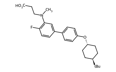 CN(CCC(=O)O)c1cc(-c2ccc(O[C@H]3CC[C@H](C(C)(C)C)CC3)cc2)ccc1F